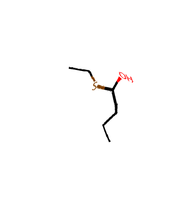 CCCC(O)SCC